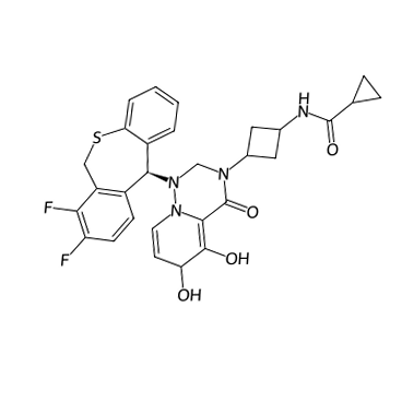 O=C(NC1CC(N2CN([C@@H]3c4ccccc4SCc4c3ccc(F)c4F)N3C=CC(O)C(O)=C3C2=O)C1)C1CC1